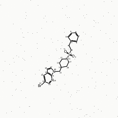 O=S(=O)(CCc1ccccc1)N1CCC(Cn2ccc3cc(Br)cnc32)CC1